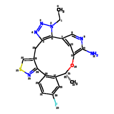 CCn1nnc2c1-c1cnc(N)c(c1)O[C@H](C)c1cc(F)ccc1-c1nscc1C2